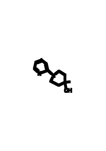 CC1(O)CCN(c2c[c]ccn2)CC1